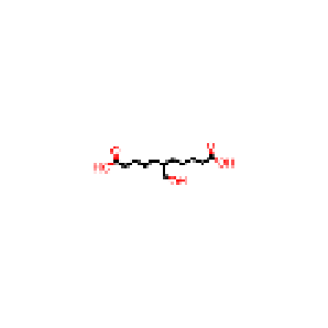 O=C(O)CCCCC(CO)CCCCC(=O)O